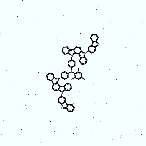 Cc1cc(C)c(B(c2ccc(-n3c4ccccc4c4ccc5c(c6ccccc6n5-c5ccc6oc7ccccc7c6c5)c43)cc2)c2ccc(-n3c4ccccc4c4ccc5c(c6ccccc6n5-c5ccc6oc7ccccc7c6c5)c43)cc2)c(C)c1